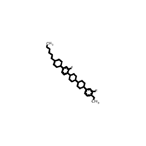 CCCCCCC1CCC(c2ccc(C3CCC(C4CCC(c5ccc(CC)c(F)c5)CC4)CC3)c(F)c2)CC1